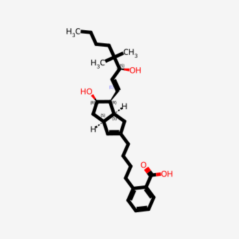 CCCCC(C)(C)[C@@H](O)/C=C/[C@H]1[C@H]2CC(CCCCc3ccccc3C(=O)O)=C[C@H]2C[C@H]1O